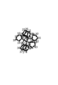 [CH](c1ccccc1)C(c1ccccc1)(c1ccccc1)C([C](c1ccccc1)c1ccccc1)(c1ccccc1)c1ccccc1